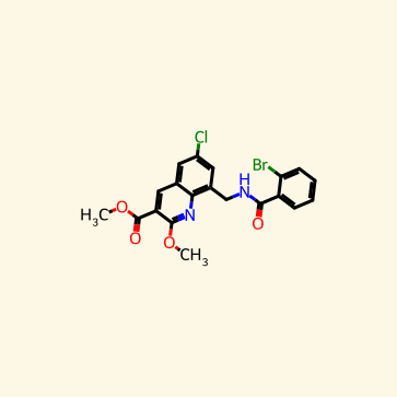 COC(=O)c1cc2cc(Cl)cc(CNC(=O)c3ccccc3Br)c2nc1OC